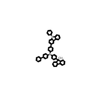 CC1(c2ccc(N(c3ccc(-c4ccccc4)cc3)c3ccc(-c4ccc5c(c4)c4ccccc4n5-c4ccccc4)cc3)cc2)c2ccccc2-c2ccccc21